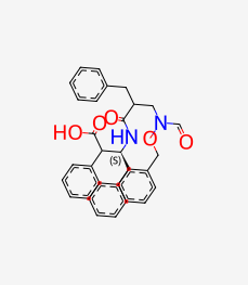 O=CN(CC(Cc1ccccc1)C(=O)N[C@@H](Cc1ccccc1)C(C(=O)O)c1ccccc1)OCc1ccccc1